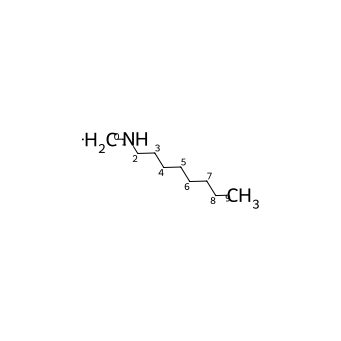 [CH2]NCCCCCCCC